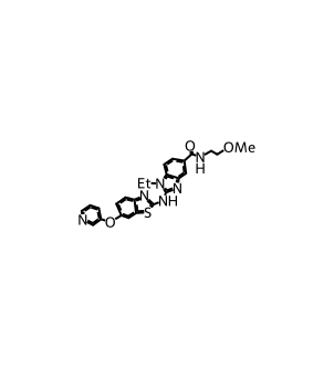 CCn1c(Nc2nc3ccc(Oc4cccnc4)cc3s2)nc2cc(C(=O)NCCOC)ccc21